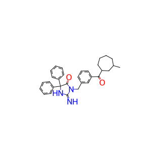 CC1CCCCC(C(=O)c2cccc(CN3C(=N)NC(c4ccccc4)(c4ccccc4)C3=O)c2)C1